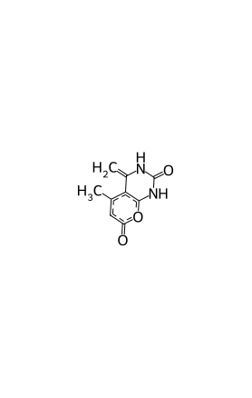 C=C1NC(=O)Nc2oc(=O)cc(C)c21